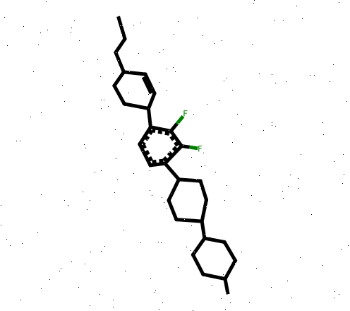 CCCC1C=CC(c2ccc(C3CCC(C4CCC(C)CC4)CC3)c(F)c2F)CC1